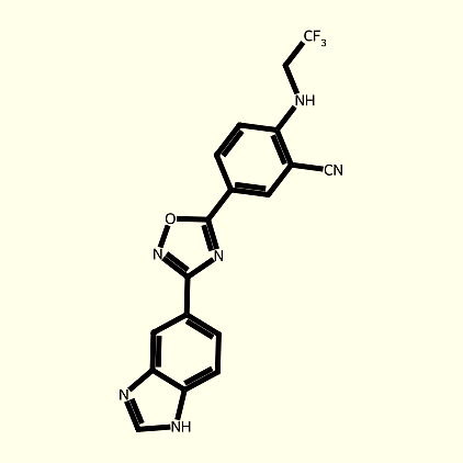 N#Cc1cc(-c2nc(-c3ccc4[nH]cnc4c3)no2)ccc1NCC(F)(F)F